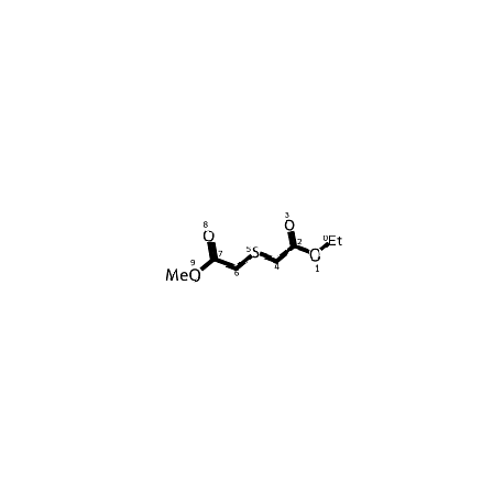 CCOC(=O)CSCC(=O)OC